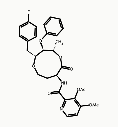 COc1ccnc(C(=O)N[C@H]2CCO[C@H](Cc3ccc(F)cc3)[C@@H](Oc3ccccc3)[C@H](C)OC2=O)c1OC(C)=O